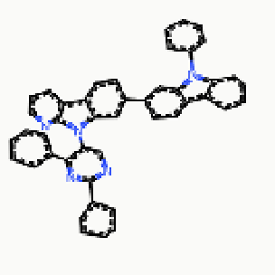 c1ccc(-c2ncc(-n3c4cc(-c5ccc6c7ccccc7n(-c7ccccc7)c6c5)ccc4c4cccnc43)c(-c3ccccc3)n2)cc1